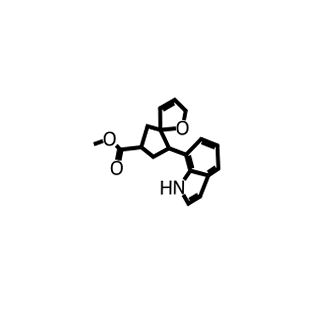 COC(=O)C1CC(c2cccc3cc[nH]c23)C2(C=CCO2)C1